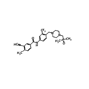 C#Cc1cc(C(=O)Nc2ccc(CN3CCN(CP(C)(C)=O)CC3)c(C(F)(F)F)c2)ccc1C